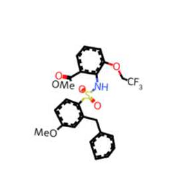 COC(=O)c1cccc(OCC(F)(F)F)c1NS(=O)(=O)c1ccc(OC)cc1Cc1ccccc1